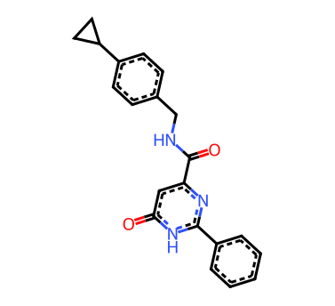 O=C(NCc1ccc(C2CC2)cc1)c1cc(=O)[nH]c(-c2ccccc2)n1